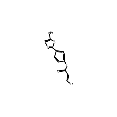 CCC=CC(=O)Oc1ccc(-c2nnc(CCC)s2)cc1